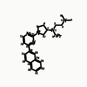 CCCN(CCN(C)C)[C@@H]1CCN(c2nccc(-c3ccc4ccccc4c3)n2)C1